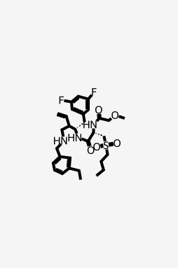 C=CC(CNCc1cccc(CC)c1)[C@H](Cc1cc(F)cc(F)c1)NC(=O)[C@@H](CS(=O)(=O)CCCC)NC(=O)COC